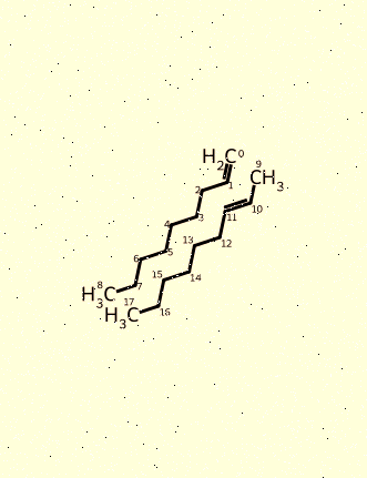 C=CCCCCCCC.CC=CCCCCCC